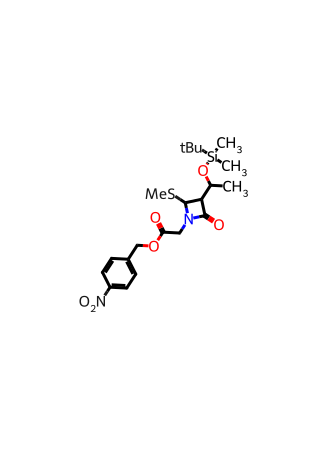 CSC1C(C(C)O[Si](C)(C)C(C)(C)C)C(=O)N1CC(=O)OCc1ccc([N+](=O)[O-])cc1